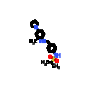 Cc1cc(N2CC=CC2)ccc1NCc1ccc(NS(=O)(=O)C(C)C)cc1